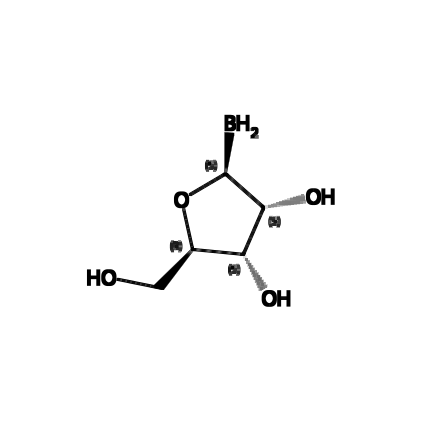 B[C@@H]1O[C@H](CO)[C@@H](O)[C@H]1O